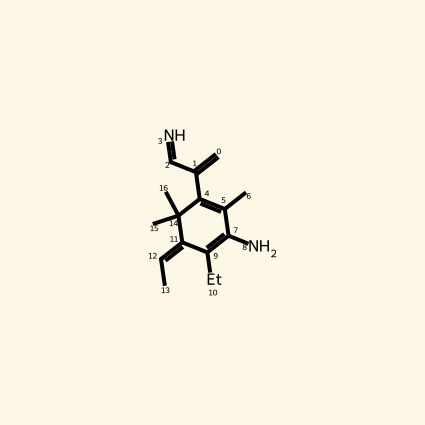 C=C(C=N)C1=C(C)C(N)=C(CC)/C(=C\C)C1(C)C